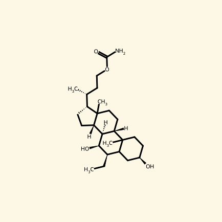 CC[C@@H]1C2C[C@H](O)CCC2(C)[C@H]2CCC3(C)[C@@H]([C@H](C)CCOC(N)=O)CC[C@H]3[C@@H]2[C@@H]1O